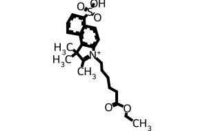 CCOC(=O)CCCCC[N+]1=C(C)C(C)(C)c2c1ccc1c(S(=O)(=O)O)cccc21